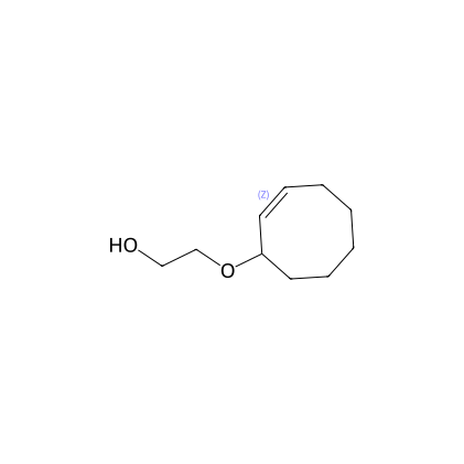 OCCOC1/C=C\CCCCC1